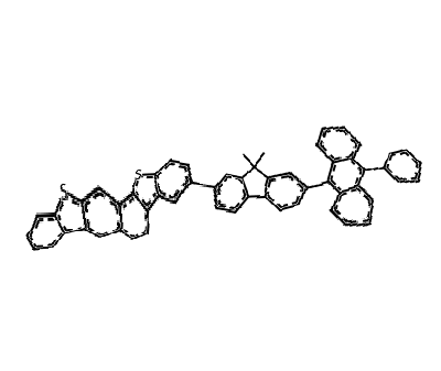 CC1(C)c2cc(-c3ccc4sc5c6cc7sc8ccccc8c7cc6ccc5c4c3)ccc2-c2ccc(-c3c4ccccc4c(-c4ccccc4)c4ccccc34)cc21